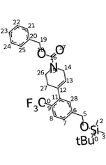 CC(C)(C)[Si](C)(C)OCc1ccc(C(F)(F)F)c(C2=CCN(C(=O)OCc3ccccc3)CC2)c1